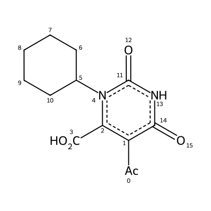 CC(=O)c1c(C(=O)O)n(C2CCCCC2)c(=O)[nH]c1=O